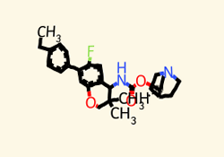 CCc1ccc(-c2cc3c(cc2F)C(NC(=O)O[C@H]2CN4CCC2CC4)C(C)(C)CO3)cc1